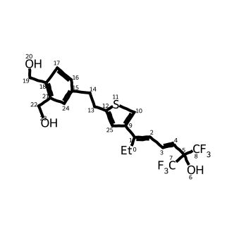 CCC(=CC=CC(O)(C(F)(F)F)C(F)(F)F)c1csc(CCc2ccc(CO)c(CO)c2)c1